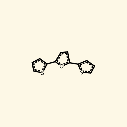 c1csc(-c2ccc(-c3cccs3)o2)c1